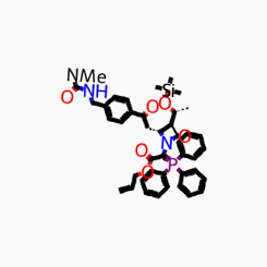 C=CCOC(=O)C(N1C(=O)[C@H]([C@@H](C)O[Si](C)(C)C)[C@H]1CC(=O)c1ccc(CNC(=O)NC)cc1)=P(c1ccccc1)(c1ccccc1)c1ccccc1